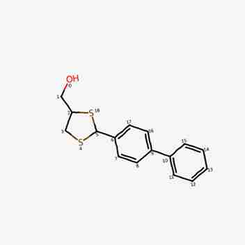 OCC1CSC(c2ccc(-c3ccccc3)cc2)S1